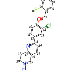 Fc1ccccc1COc1ccc(-c2ccc3c(n2)CCNC3)cc1Cl